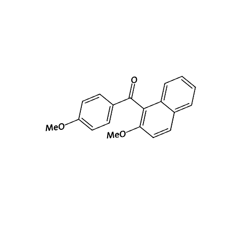 COc1ccc(C(=O)c2c(OC)ccc3ccccc23)cc1